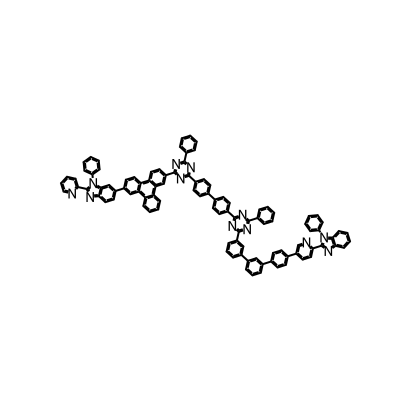 c1ccc(-c2nc(-c3ccc(-c4ccc(-c5nc(-c6ccccc6)nc(-c6ccc7c8ccc(-c9ccc%10nc(-c%11ccccn%11)n(-c%11ccccc%11)c%10c9)cc8c8ccccc8c7c6)n5)cc4)cc3)nc(-c3cccc(-c4cccc(-c5ccc(-c6ccc(-c7nc8ccccc8n7-c7ccccc7)nc6)cc5)c4)c3)n2)cc1